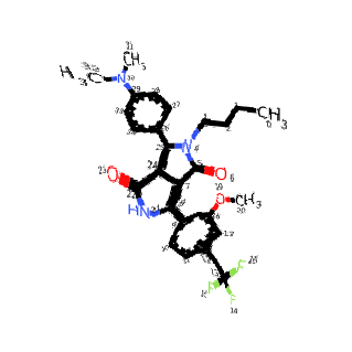 CCCCN1C(=O)C2=C(c3ccc(C(F)(F)F)cc3OC)NC(=O)C2=C1c1ccc(N(C)C)cc1